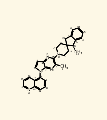 Cc1nc2c(ccn2-c2cccc3ncccc23)nc1N1CCC2(CC1)Cc1ccccc1[C@H]2N